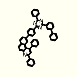 c1ccc(-c2cccc(-c3nc(-c4ccccc4)nc(-c4ccc(-c5ccc6ccc7nc(-c8ccccc8)cc(-c8ccccc8)c7c6c5)cc4)n3)c2)cc1